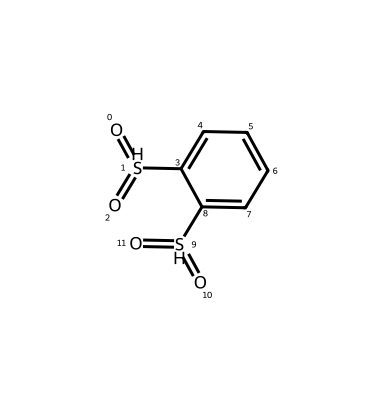 O=[SH](=O)c1ccccc1[SH](=O)=O